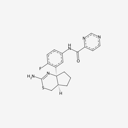 NC1=N[C@@]2(c3cc(NC(=O)c4ccncn4)ccc3F)CCC[C@H]2CS1